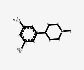 COc1cc(C2CCN(C)CC2)cc(C(C)(C)C)c1